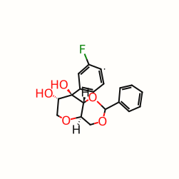 O[C@H]1CO[C@@H]2COC(c3ccccc3)O[C@H]2[C@@]1(O)c1cc[c]c(F)c1